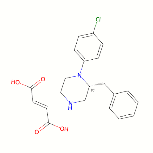 Clc1ccc(N2CCNC[C@H]2Cc2ccccc2)cc1.O=C(O)C=CC(=O)O